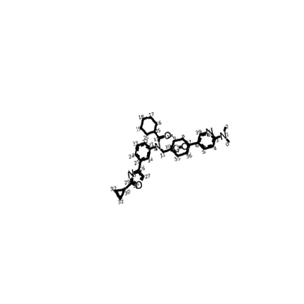 CN(C)c1ccc(C23CCC(CN(C(=O)C4CCCCC4)c4cccc(-c5coc(C6CC6)n5)c4)(CC2)CC3)cn1